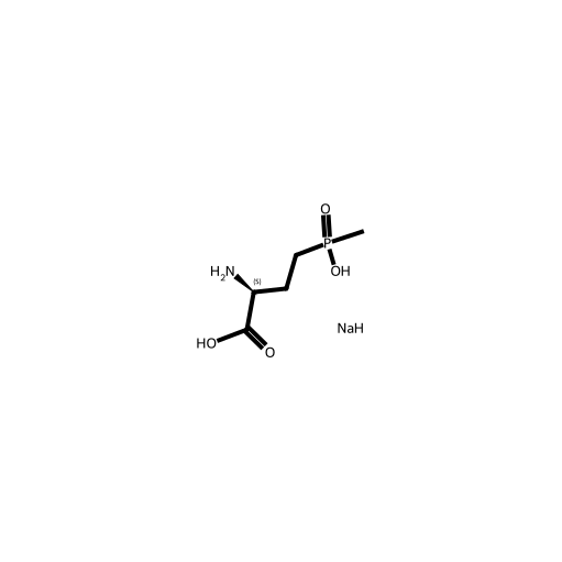 CP(=O)(O)CC[C@H](N)C(=O)O.[NaH]